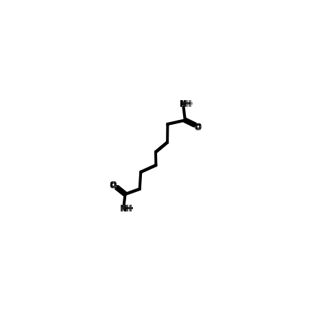 [NH]C(=O)CCCCCCC([NH])=O